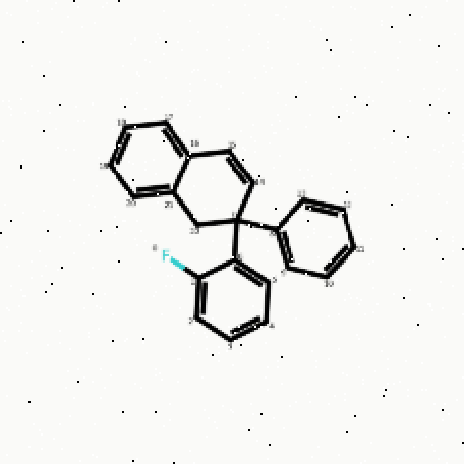 Fc1ccccc1C1(c2ccccc2)C=Cc2ccccc2C1